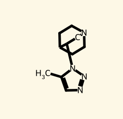 Cc1cnnn1C1CN2CCC1CC2